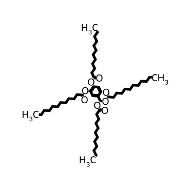 CCCCCCCCCCCC(=O)Oc1ccc(C(OC(=O)CCCCCCCCCCC)OC(=O)CCCCCCCCCCC)cc1OC(=O)CCCCCCCCCCC